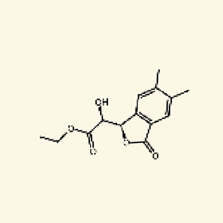 CCOC(=O)[C@@H](O)[C@@H]1OC(=O)c2cc(C)c(C)cc21